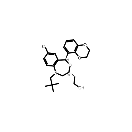 CC(C)(C)CN1C[C@@H](CCO)O[C@H](c2cccc3c2OCCO3)c2cc(Cl)ccc21